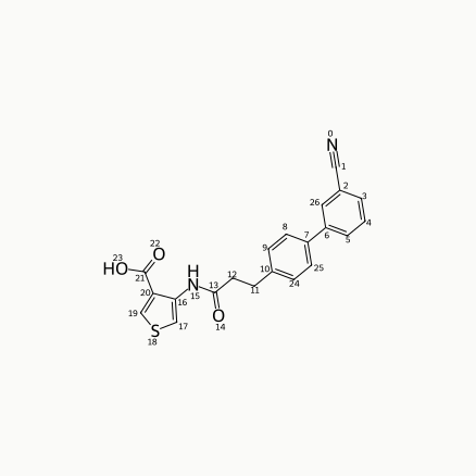 N#Cc1cccc(-c2ccc(CCC(=O)Nc3cscc3C(=O)O)cc2)c1